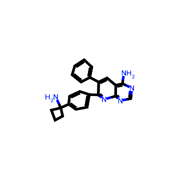 Nc1ncnc2nc(-c3ccc(C4(N)CCC4)cc3)c(-c3ccccc3)cc12